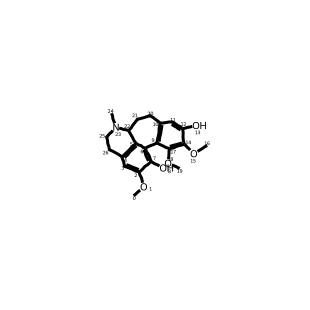 COc1cc2c3c(c1O)-c1c(cc(O)c(OC)c1OC)CCC3N(C)CC2